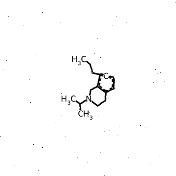 CCCc1cccc2c1CN(C(C)C)CC2